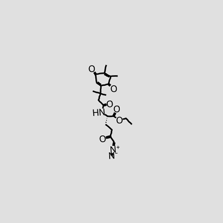 CCOC(=O)[C@H](CCC(=O)C=[N+]=[N-])NC(=O)CC(C)(C)C1=CC(=O)C(C)=C(C)C1=O